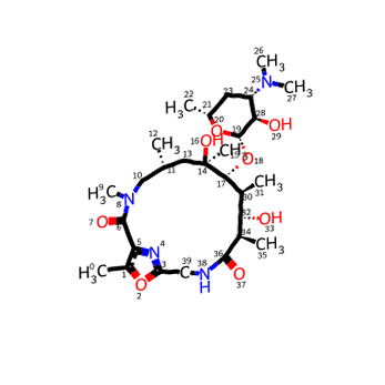 Cc1oc2nc1C(=O)N(C)C[C@H](C)C[C@@](C)(O)[C@H](O[C@@H]1O[C@H](C)C[C@H](N(C)C)[C@H]1O)[C@@H](C)[C@H](O)[C@@H](C)C(=O)NC2